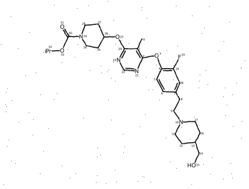 Cc1c(Oc2ccc(CCN3CCC(CO)CC3)cc2F)ncnc1OC1CCN(C(=O)OC(C)C)CC1